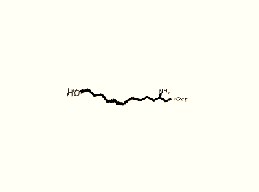 CCCCCCCCCC(N)CCCCCCCCCCO